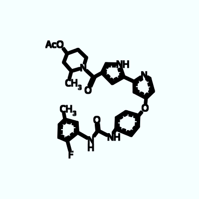 CC(=O)OC1CCN(C(=O)c2c[nH]c(-c3cc(Oc4ccc(NC(=O)Nc5cc(C)ccc5F)cc4)ccn3)c2)C(C)C1